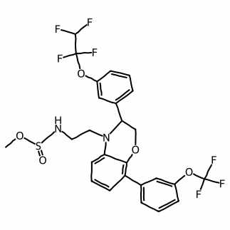 COS(=O)NCCN1c2cccc(-c3cccc(OC(F)(F)F)c3)c2OCC1c1cccc(OC(F)(F)C(F)F)c1